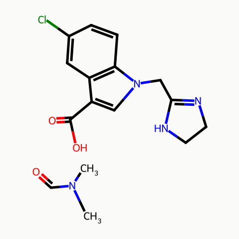 CN(C)C=O.O=C(O)c1cn(CC2=NCCN2)c2ccc(Cl)cc12